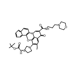 CC(C)(C)OC(=O)N[C@@H]1CCN(c2c(F)cc3c(=O)c(C(=O)NCCCN4CCOCC4)cn4c3c2Oc2c-4ccc3ccccc23)C1